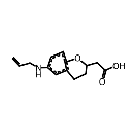 C=CCNc1ccc2c(c1)CCC(CC(=O)O)O2